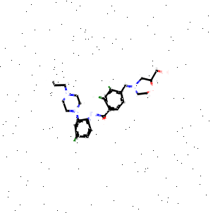 O=C(Nc1ccc(Cl)cc1N1CCN(CCC(F)(F)F)CC1)c1ccc(CN2CCOC(CO)C2)c(F)c1F